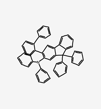 c1ccc(-c2ccccc2-c2cc3c(cc2N(c2ccccc2)c2ccccc2)C(c2ccccc2)(c2ccccc2)c2ccccc2-3)cc1